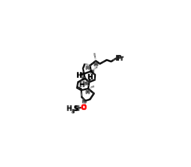 CC(C)CCC[C@@H](C)[C@H]1CC[C@H]2[C@@H]3CC=C4C[C@@H](O[SiH3])CC[C@]4(C)[C@H]3CC[C@]12C